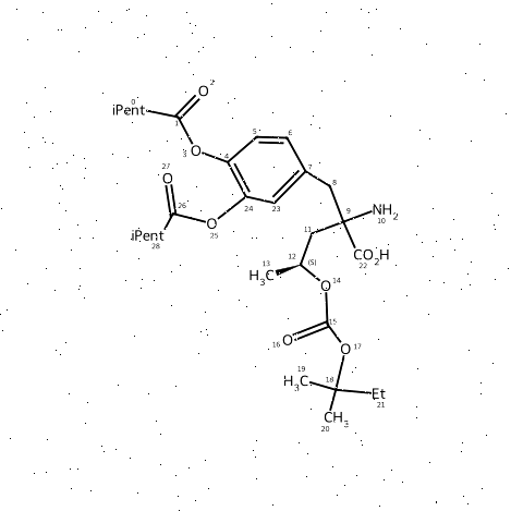 CCCC(C)C(=O)Oc1ccc(CC(N)(C[C@H](C)OC(=O)OC(C)(C)CC)C(=O)O)cc1OC(=O)C(C)CCC